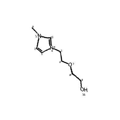 Cn1cc[n+](CCOCCO)c1